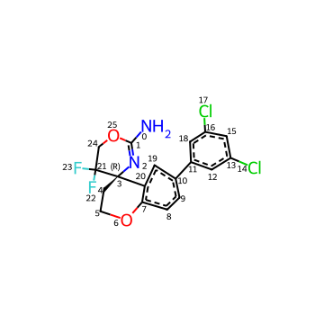 NC1=N[C@@]2(CCOc3ccc(-c4cc(Cl)cc(Cl)c4)cc32)C(F)(F)CO1